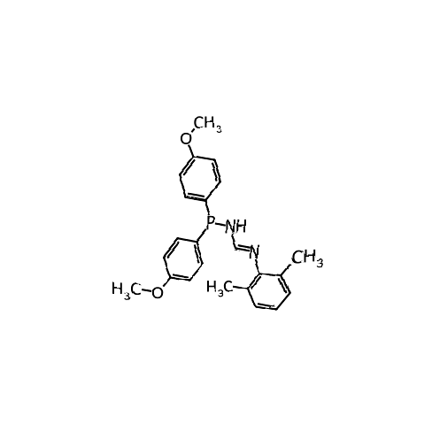 COc1ccc(P(N/C=N/c2c(C)cccc2C)c2ccc(OC)cc2)cc1